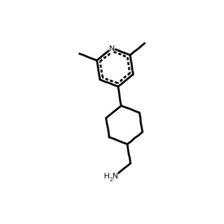 Cc1cc(C2CCC(CN)CC2)cc(C)n1